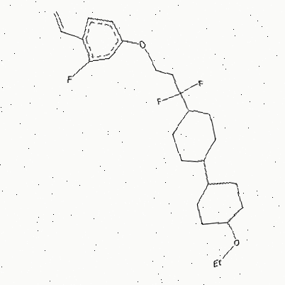 C=Cc1ccc(OCCC(F)(F)C2CCC(C3CCC(OCC)CC3)CC2)cc1F